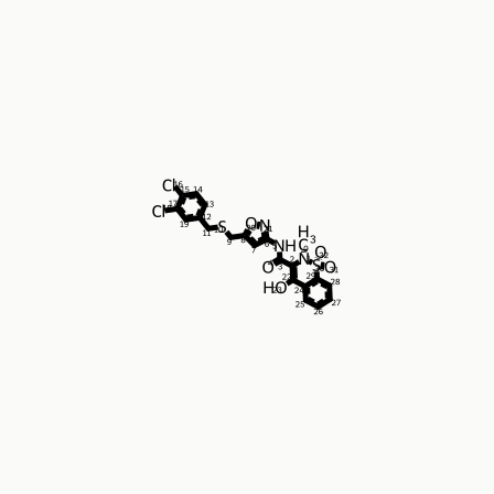 CN1C(C(=O)Nc2cc(CSCc3ccc(Cl)c(Cl)c3)on2)=C(O)c2ccccc2S1(=O)=O